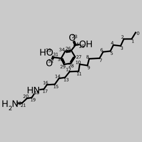 CCCCCCCCCCCCCCCCCCNCCCN.O=C(O)c1cccc(C(=O)O)c1